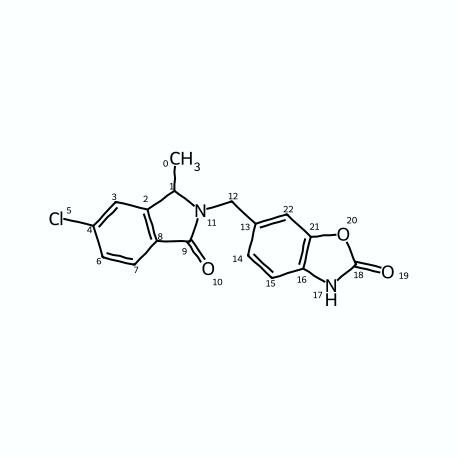 CC1c2cc(Cl)ccc2C(=O)N1Cc1ccc2[nH]c(=O)oc2c1